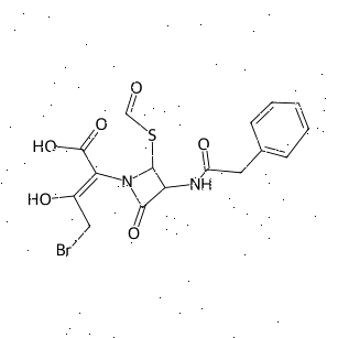 O=CSC1C(NC(=O)Cc2ccccc2)C(=O)N1/C(C(=O)O)=C(/O)CBr